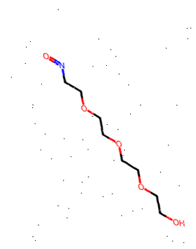 O=NCCOCCOCCOCCO